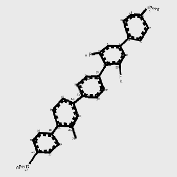 CCCCCc1ccc(-c2cc(F)c(-c3ccc(-c4ccc(-c5ccc(CCCCC)cc5)c(C)c4)cc3)c(F)c2)cc1